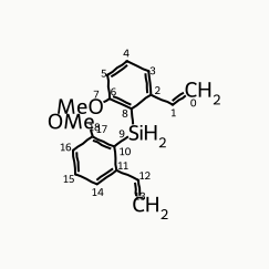 C=Cc1cccc(OC)c1[SiH2]c1c(C=C)cccc1OC